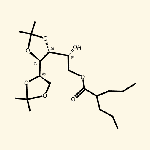 CCCC(CCC)C(=O)OC[C@@H](O)[C@H]1OC(C)(C)O[C@@H]1[C@H]1COC(C)(C)O1